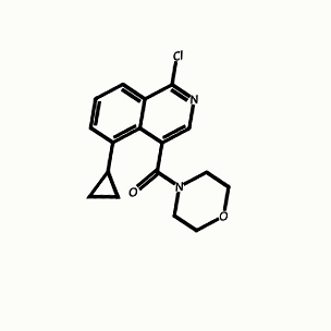 O=C(c1cnc(Cl)c2cccc(C3CC3)c12)N1CCOCC1